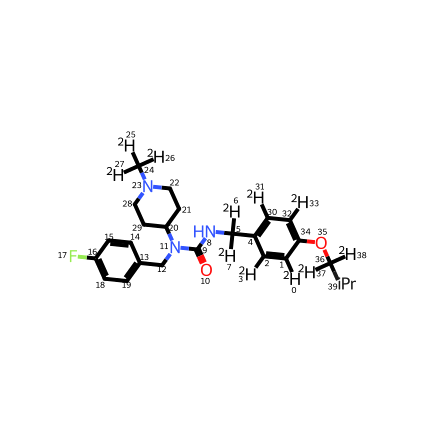 [2H]c1c([2H])c(C([2H])([2H])NC(=O)N(Cc2ccc(F)cc2)C2CCN(C([2H])([2H])[2H])CC2)c([2H])c([2H])c1OC([2H])([2H])C(C)C